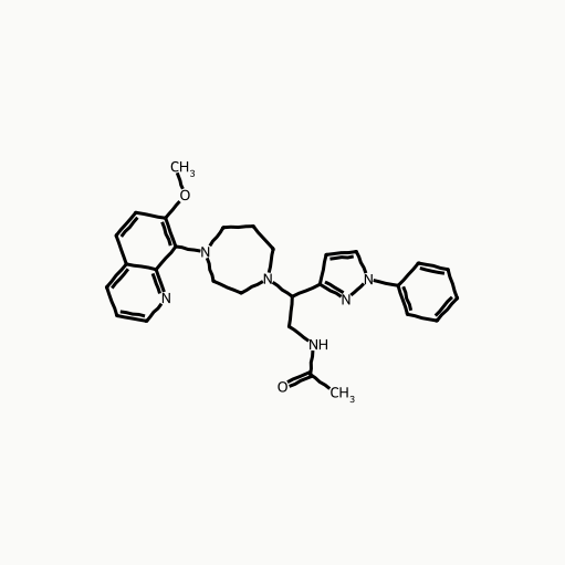 COc1ccc2cccnc2c1N1CCCN(C(CNC(C)=O)c2ccn(-c3ccccc3)n2)CC1